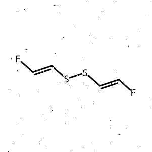 FC=CSSC=CF